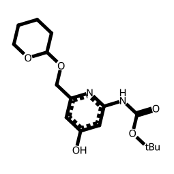 CC(C)(C)OC(=O)Nc1cc(O)cc(COC2CCCCO2)n1